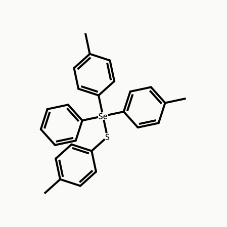 Cc1ccc(S[Se](c2ccccc2)(c2ccc(C)cc2)c2ccc(C)cc2)cc1